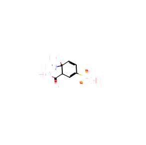 NC1(O)C=CC(S(=O)(=O)O)=CC1C(=O)O